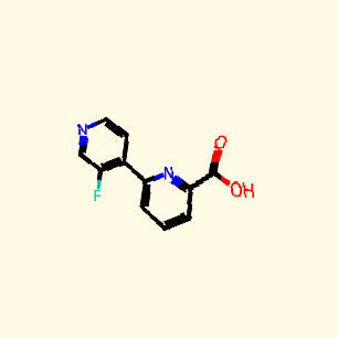 O=C(O)c1cccc(-c2ccncc2F)n1